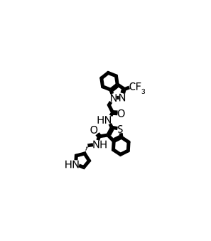 O=C(Cn1nc(C(F)(F)F)c2c1CCCC2)Nc1sc2c(c1C(=O)NC[C@@H]1CCNC1)CCCC2